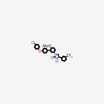 COc1ccc(N2CC(c3cccc(C(F)(F)F)c3)NC2=O)cc1-c1ccc(Oc2ccc(Cl)cc2)cc1